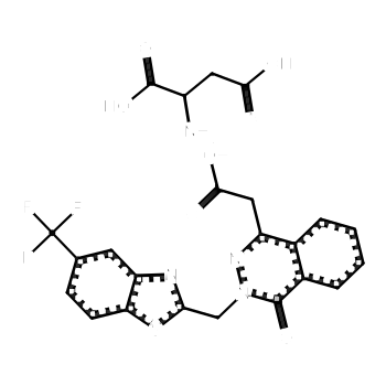 NC(CC(=O)O)C(=O)O.O=C(O)Cc1nn(Cc2nc3cc(C(F)(F)F)ccc3s2)c(=O)c2ccccc12